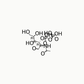 CC(=O)N[C@@H](C=O)[C@@H](OP(=O)(O)OP(=O)(O)O)[C@H](O)[C@H](O)CO